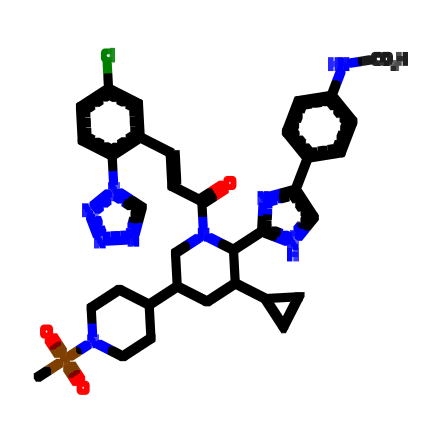 CS(=O)(=O)N1CCC(C2CC(C3CC3)C(c3nc(-c4ccc(NC(=O)O)cc4)c[nH]3)N(C(=O)/C=C/c3cc(Cl)ccc3-n3cnnn3)C2)CC1